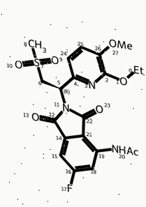 CCOc1nc([C@H](CS(C)(=O)=O)N2C(=O)c3cc(F)cc(NC(C)=O)c3C2=O)ccc1OC